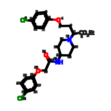 CCOC(=O)C(CCOc1ccc(Cl)cc1)N1CCC(NC(=O)COc2ccc(Cl)cc2)CC1